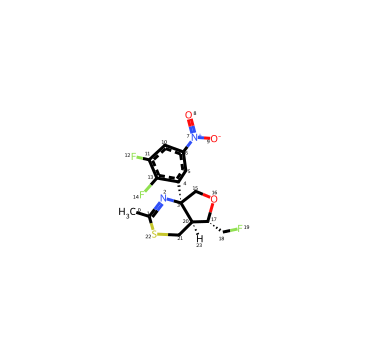 CC1=N[C@@]2(c3cc([N+](=O)[O-])cc(F)c3F)CO[C@H](CF)[C@H]2CS1